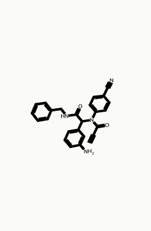 C#CC(=O)N(c1ccc(C#N)cc1)C(C(=O)NCc1ccccc1)c1cccc(N)c1